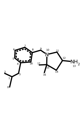 CC(C)Cc1cccc(CN2CC(N)CC2(C)C)c1